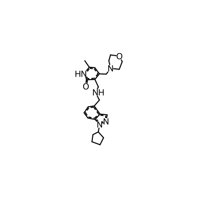 Cc1cc(CN2CCOCC2)c(CNCc2cccc3c2cnn3C2CCCC2)c(=O)[nH]1